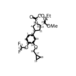 CCOC(=O)C(=O)N1CC(c2ccc(OC(F)F)c(OCC3CC3)c2)C[C@H]1C(=O)OC